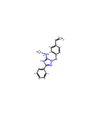 C=Cc1ccc(Cn2nc(-c3ccccc3)nc2NC)cc1